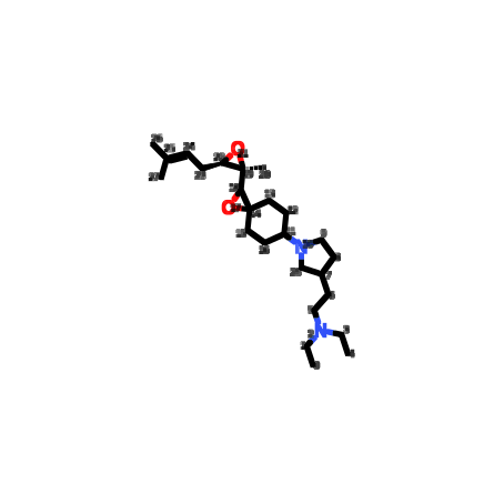 CCN(CC)CCC1CCN(C2CCC3(CC2)OC3[C@]2(C)O[C@@H]2CC=C(C)C)C1